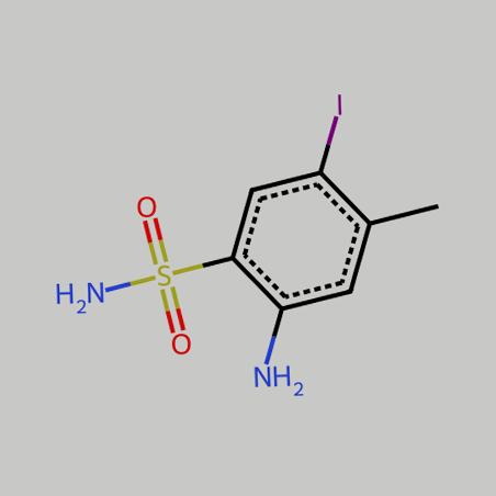 Cc1cc(N)c(S(N)(=O)=O)cc1I